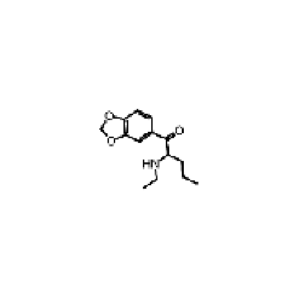 CCCC(NCC)C(=O)c1ccc2c(c1)OCO2